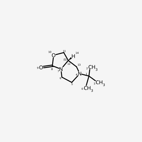 CC(C)(C)N1CCN2C(=O)OC[C@@H]2C1